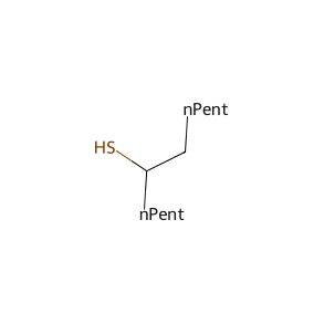 CCCCCCC(S)CCCCC